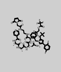 C[C@H](NC(=O)c1ccncc1)C(=O)N[C@@H](C)C(=O)N[C@@H](CC(N)=O)C(=O)N[C@@H](CCN(C(=O)COC(=O)C(F)(F)F)[C@@H](c1cc(-c2cc(F)ccc2F)cn1Cc1ccccc1)C(C)(C)C)C(=O)NCCNC(=O)CN1C(=O)C=CC1=O